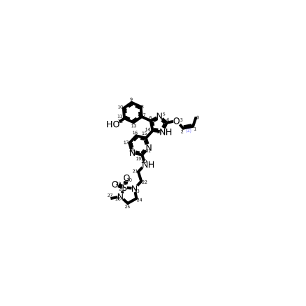 C/C=C\Oc1nc(-c2cccc(O)c2)c(-c2ccnc(NCCN3CCN(C)S3(=O)=O)n2)[nH]1